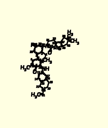 CCc1c(-c2cn(C)c(=O)c(Nc3ccc4c(c3)CCN(CC)C4)n2)cc(F)cc1N1CCc2c(sc3c2CC(C)(C)C3)C1=O